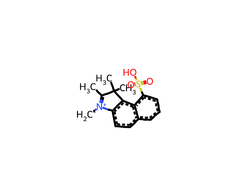 [CH2-][N+]1=C(C)C(C)(C)c2c1ccc1cccc(S(=O)(=O)O)c21